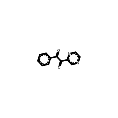 O=C(C(=O)c1cnccn1)c1ccccc1